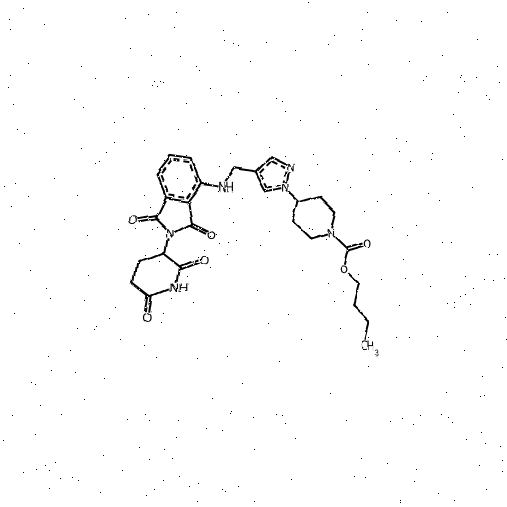 CCCCOC(=O)N1CCC(n2cc(CNc3cccc4c3C(=O)N(C3CCC(=O)NC3=O)C4=O)cn2)CC1